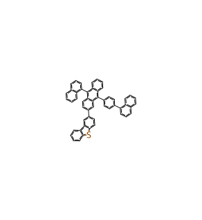 c1ccc2c(-c3ccc(-c4c5ccccc5c(-c5cccc6ccccc56)c5ccc(-c6ccc7sc8ccccc8c7c6)cc45)cc3)cccc2c1